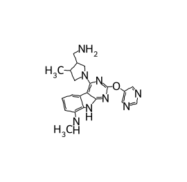 CNc1cccc2c1[nH]c1nc(Oc3cncnc3)nc(N3CC(C)C(CN)C3)c12